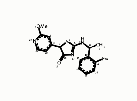 COc1cc(C2SC(N[C@@H](C)c3ccccc3F)=NC2=O)ccn1